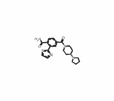 NC(=O)c1ccc(C(=O)N2CCC(N3CCCC3)CC2)cc1-c1nccs1